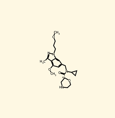 COCCCn1nc(C)c2c(OC)cc(CN(C(=O)[C@H]3CNCCO3)C3CC3)cc21